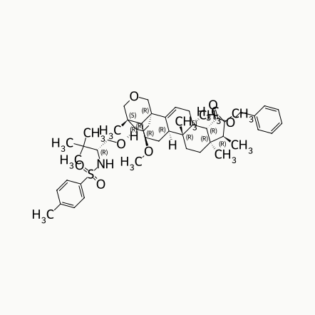 CO[C@@H]1C[C@@]23COC[C@](C)([C@@H]2CC[C@H]2C3=CC[C@@]3(C)[C@H](C(=O)OCc4ccccc4)[C@@](C)([C@H](C)C(C)C)CC[C@]23C)[C@H]1OC[C@H](NS(=O)(=O)c1ccc(C)cc1)C(C)(C)C